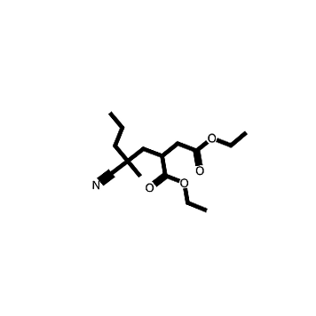 CCCC(C)(C#N)CC(CC(=O)OCC)C(=O)OCC